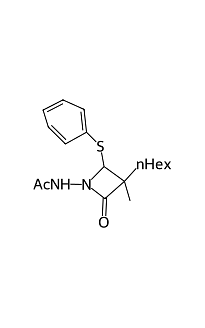 CCCCCCC1(C)C(=O)N(NC(C)=O)C1Sc1ccccc1